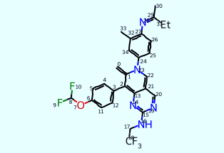 C=C1C(c2ccc(OC(F)F)cc2)=c2nc(NCC(F)(F)F)ncc2=CN1c1ccc(/N=C(/C)CC)c(C)c1